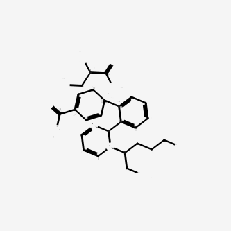 CCCCC(CC)N1C=CC=NC1c1ccccc1[C@@]1(OC(=O)C(C)CC)C=CC(C(=O)O)=CC1